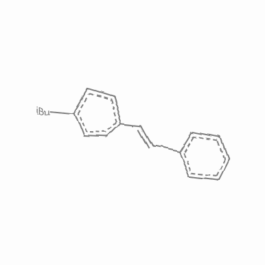 CCC(C)c1ccc(C=Cc2ccccc2)cc1